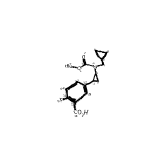 CC(C)(C)OC(=O)N(CC1CC1)C1CC1c1ccc(F)c(C(=O)O)c1